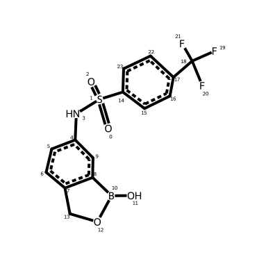 O=S(=O)(Nc1ccc2c(c1)B(O)OC2)c1ccc(C(F)(F)F)cc1